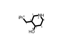 CC(C)CC1CNCCC1O